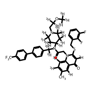 [2H]c1c(C)c([2H])c2c(=O)c([2H])c(SCc3cccc(F)c3F)n(CC(=O)N(C([2H])([2H])c3ccc(-c4ccc(C(F)(F)F)cc4)cc3)C3([2H])C([2H])([2H])C([2H])([2H])N(CC([2H])([2H])OC([2H])([2H])[2H])C([2H])([2H])C3([2H])[2H])c2c1[2H]